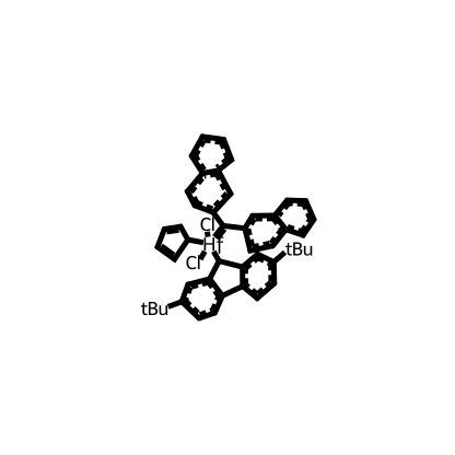 CC(C)(C)c1ccc2c(c1)[CH]([Hf]([Cl])([Cl])(=[C](c1ccc3ccccc3c1)c1ccc3ccccc3c1)[CH]1C=CC=C1)c1cc(C(C)(C)C)ccc1-2